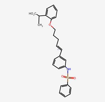 CC(C(=O)O)c1ccccc1OCCC/C=C/c1cccc(NS(=O)(=O)c2ccccc2)c1